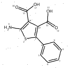 Nc1sc(-c2ccccc2)c(C(=O)O)c1C(=O)O